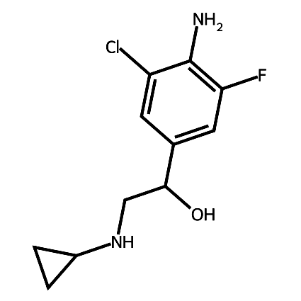 Nc1c(F)cc(C(O)CNC2CC2)cc1Cl